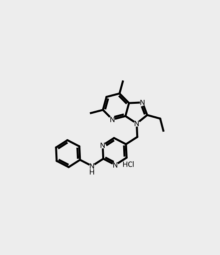 CCc1nc2c(C)cc(C)nc2n1Cc1cnc(Nc2ccccc2)nc1.Cl